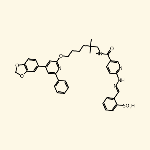 CC(C)(CCCCOc1cc(-c2ccc3c(c2)OCO3)cc(-c2ccccc2)n1)CNC(=O)c1ccc(NN=Cc2ccccc2S(=O)(=O)O)nc1